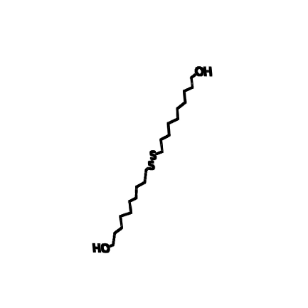 OCCCCCCCCCCSSCCCCCCCCCCO